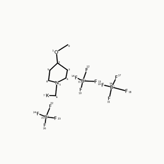 COC1CCN([CH2][K])CC1.F[B-](F)(F)F.F[B-](F)(F)F.F[B-](F)(F)F